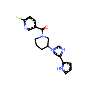 O=C(c1ccc(F)nc1)N1CCCC(n2cnc(-c3ccc[nH]3)c2)C1